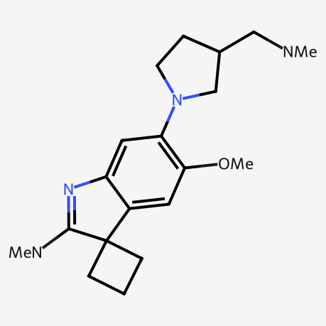 CNCC1CCN(c2cc3c(cc2OC)C2(CCC2)C(NC)=N3)C1